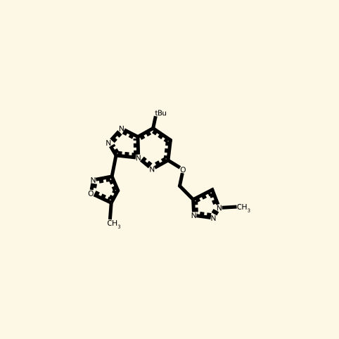 Cc1cc(-c2nnc3c(C(C)(C)C)cc(OCc4cn(C)nn4)nn23)no1